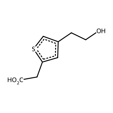 O=C(O)Cc1cc(CCO)cs1